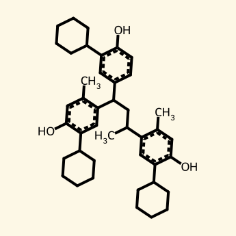 Cc1cc(O)c(C2CCCCC2)cc1C(C)CC(c1ccc(O)c(C2CCCCC2)c1)c1cc(C2CCCCC2)c(O)cc1C